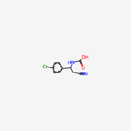 N#CCC(NC(=O)O)c1ccc(Cl)cc1